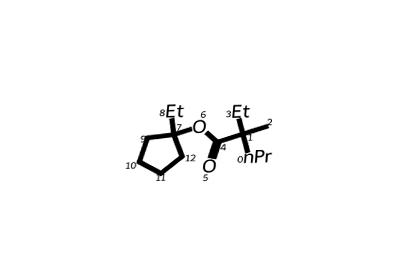 CCCC(C)(CC)C(=O)OC1(CC)CCCC1